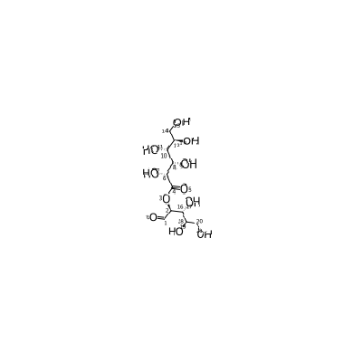 O=C[C@@H](OC(=O)[C@H](O)[C@@H](O)[C@H](O)[C@H](O)CO)[C@H](O)[C@H](O)CO